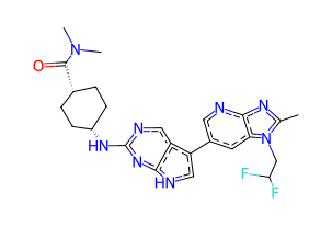 Cc1nc2ncc(-c3c[nH]c4nc(N[C@H]5CC[C@@H](C(=O)N(C)C)CC5)ncc34)cc2n1CC(F)F